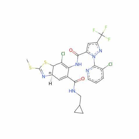 CSC1=N[C@@H]2C=C(C(=O)NCC3CC3)C(NC(=O)c3cc(C(F)(F)F)nn3-c3ncccc3Cl)=C(Cl)C2S1